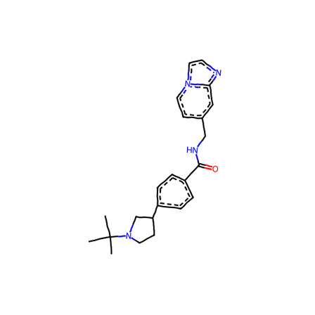 CC(C)(C)N1CCC(c2ccc(C(=O)NCc3ccn4ccnc4c3)cc2)C1